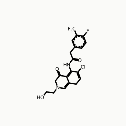 O=C(Cc1ccc(F)c(C(F)(F)F)c1)NC1=C2C(=O)CN(CCO)C=C2CC=C1Cl